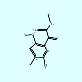 C=C(C(=O)OC)c1cc(Cl)c(C)cc1OC